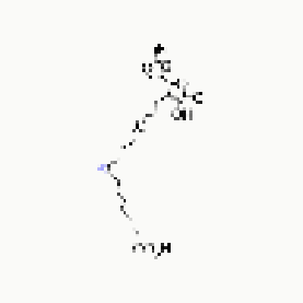 CC(C)C1OCC(C2OC(=O)C(O)=C2CCCCCCCC/C=C\CCCCCCCC(=O)O)O1